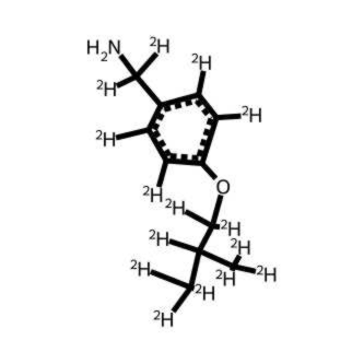 [2H]c1c([2H])c(C([2H])([2H])N)c([2H])c([2H])c1OC([2H])([2H])C([2H])(C([2H])([2H])[2H])C([2H])([2H])[2H]